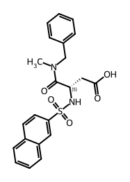 CN(Cc1ccccc1)C(=O)[C@H](CC(=O)O)NS(=O)(=O)c1ccc2ccccc2c1